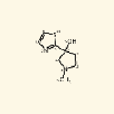 CN1CCC(O)(c2nccs2)C1